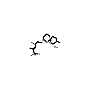 CCCC[C@H]1O[C@@]2(CCC[C@@H](CC[C@H](C)/C=C(\C)[C@H](C)O)O2)CCC1C